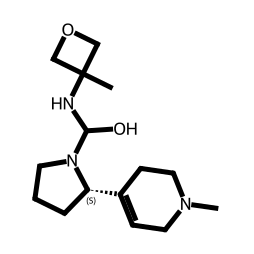 CN1CC=C([C@@H]2CCCN2C(O)NC2(C)COC2)CC1